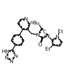 CCCCc1cn(-c2c(CC)ccn2CC)c(=O)n1Cc1cnccc1-c1ccc(-c2nnn[nH]2)cc1